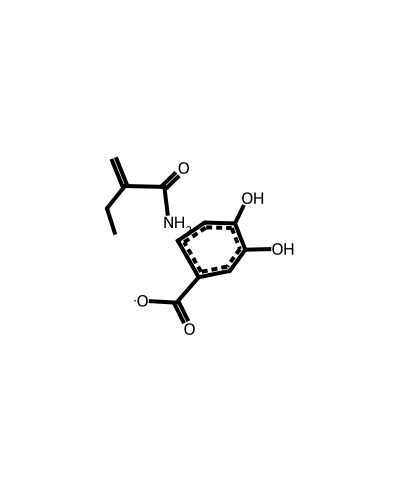 C=C(CC)C(N)=O.[O]C(=O)c1ccc(O)c(O)c1